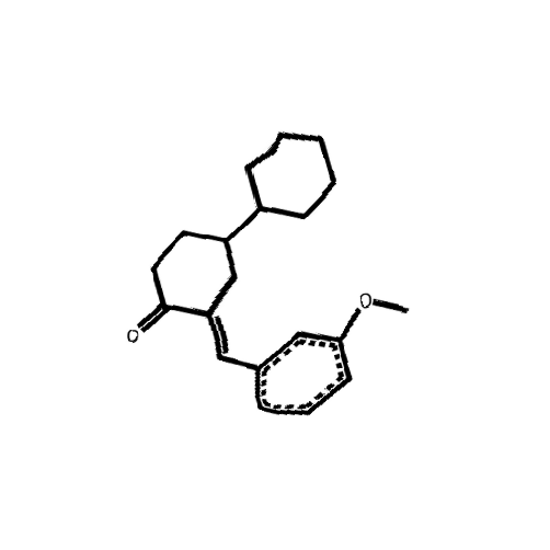 COc1cccc(C=C2CC(C3CCCCC3)CCC2=O)c1